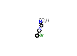 O=C(O)N1CC2(CCC(N3CCC(c4ccccc4Br)CC3)C2)C1